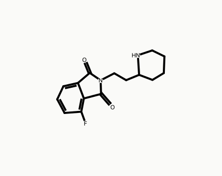 O=C1c2cccc(F)c2C(=O)N1CCC1CCCCN1